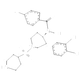 CN(C(=O)c1ccc(Cl)cc1)[C@@H]1CCN(S(=O)(=O)C2CCNCC2)C[C@H]1c1ccc(Cl)c(Cl)c1